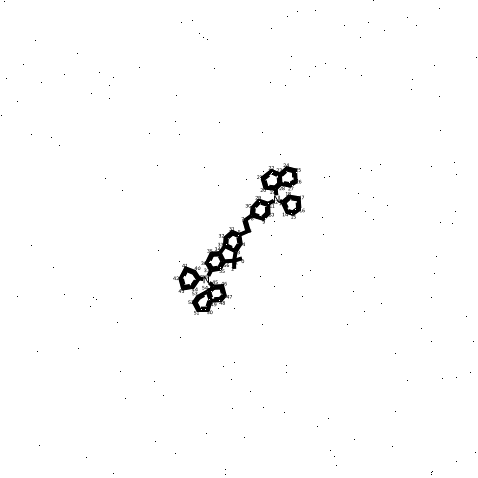 CC1(C)c2cc(/C=C/c3ccc(N(c4ccccc4)c4cccc5ccccc45)cc3)ccc2-c2ccc(N(c3ccccc3)c3cccc4ccccc34)cc21